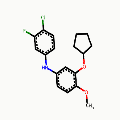 COc1ccc(Nc2ccc(Cl)c(F)c2)cc1OC1CCCC1